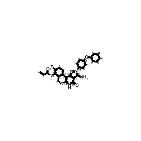 C=CC(=O)Nc1c(F)ccc2c1COc1[nH]c(=O)c3c(N)n(-c4ccc(Oc5ccccc5)cc4)nc3c1-2